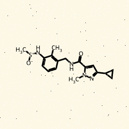 Cc1c(CNC(=O)c2cc(C3CC3)nn2C)cccc1N[S+](C)[O-]